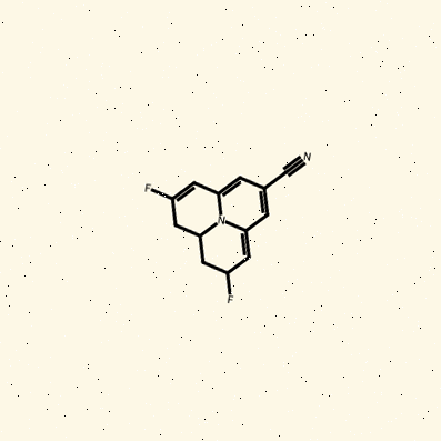 N#CC1=CC2=CC(F)CC3CC(F)=CC(=C1)N23